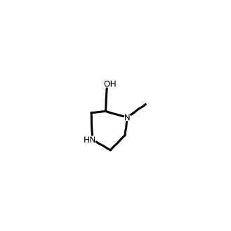 CN1CCNCC1O